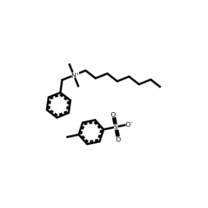 CCCCCCCC[N+](C)(C)Cc1ccccc1.Cc1ccc(S(=O)(=O)[O-])cc1